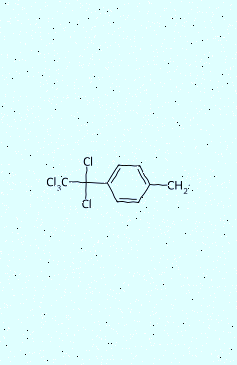 [CH2]c1ccc(C(Cl)(Cl)C(Cl)(Cl)Cl)cc1